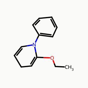 CCOC1=CCC=CN1c1ccccc1